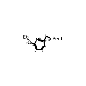 CCCCCCc1cccc(OCC)n1